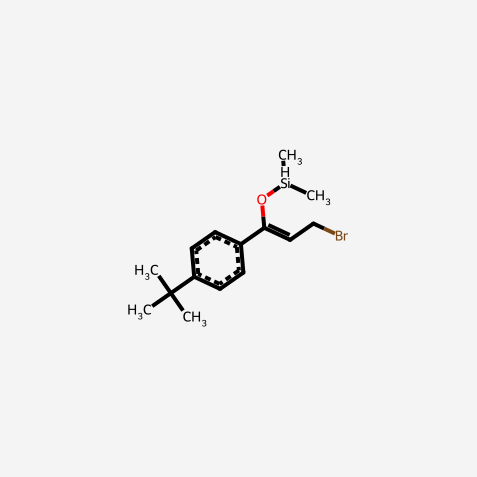 C[SiH](C)OC(=CCBr)c1ccc(C(C)(C)C)cc1